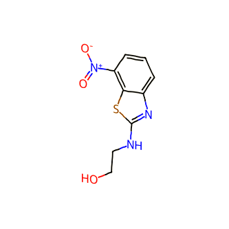 O=[N+]([O-])c1cccc2nc(NCCO)sc12